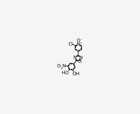 O=[N+]([O-])c1cc(-c2nc(-c3cc[n+]([O-])c(Cl)c3)no2)cc(O)c1O